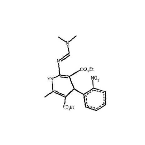 CCOC(=O)C1=C(C)NC(N=CN(C)C)=C(C(=O)OCC)C1c1ccccc1[N+](=O)[O-]